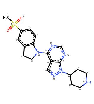 CS(=O)(=O)c1ccc2c(c1)CCN2c1ncnc2c1cnn2C1CCNCC1